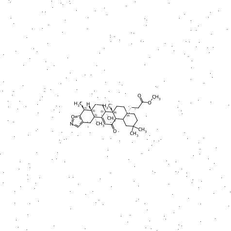 COC(=O)CC[C@]12CCC(C)(C)CC1C1C(=O)C=C3[C@@]4(C)Cc5cnoc5[C@@H](C)[C@@H]4CC[C@@]3(C)[C@]1(C)CC2